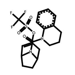 O=C(N1CCCc2ccccc21)N1C2C=C(OS(=O)(=O)C(F)(F)F)CC1CC2